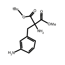 COC(=O)C(N)(Cc1cccc(N)c1)C(=O)OC(C)(C)C